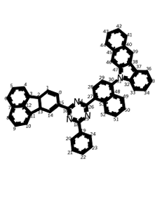 C1=CC2c3cccc4cccc(c34)C2C=C1c1nc(-c2ccccc2)nc(-c2ccc(-n3c4ccccc4c4cc5ccccc5cc43)c3ccccc23)n1